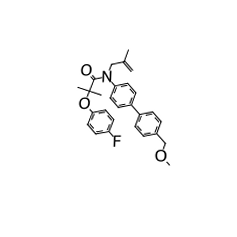 C=C(C)CN(C(=O)C(C)(C)Oc1ccc(F)cc1)c1ccc(-c2ccc(COC)cc2)cc1